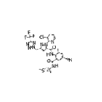 CSC[C@H](C)NC(=O)c1cc(C#N)cc(C)c1NC(=O)c1cc(Cn2nnc(C(F)(F)F)n2)nn1-c1ncccc1Cl